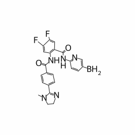 Bc1ccc(NC(=O)c2cc(F)c(F)cc2NC(=O)c2ccc(C3=NCCN3C)cc2)nc1